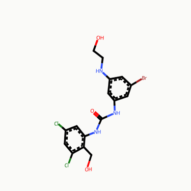 O=C(Nc1cc(Br)cc(NCCO)c1)Nc1cc(Cl)cc(Cl)c1CO